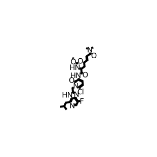 COC(=O)NC(CCC=CC(=O)N(C)C)C(=O)Nc1ccc(Cl)n(Cc2nc3c(F)cnc(CC(C)C)c3[nH]2)c1=O